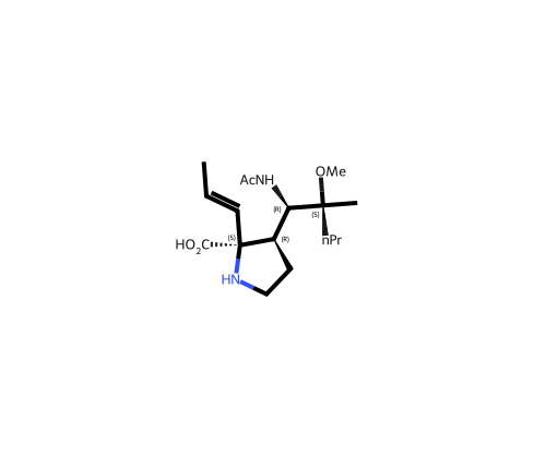 CC=C[C@]1(C(=O)O)NCC[C@@H]1[C@@H](NC(C)=O)[C@](C)(CCC)OC